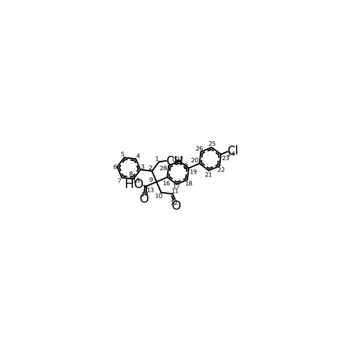 CCC(c1ccccc1)C(CC=O)(C(=O)O)c1ccc(-c2ccc(Cl)cc2)cc1